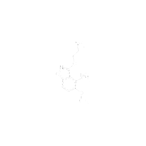 COc1ccc2onc(OCCN)c2c1C.Cl